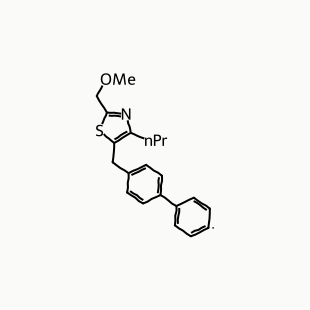 CCCc1nc(COC)sc1Cc1ccc(-c2cc[c]cc2)cc1